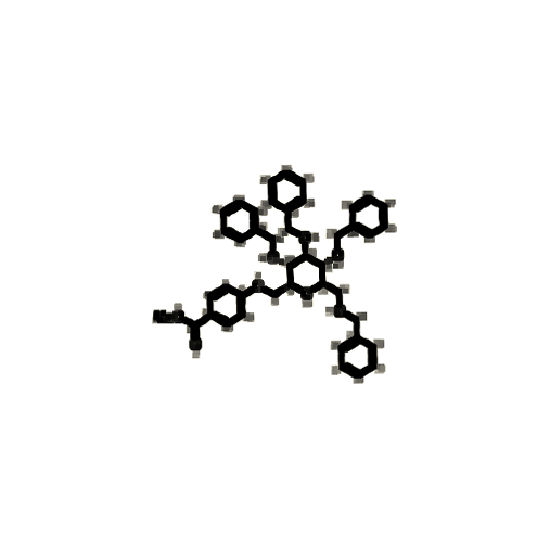 COC(=O)c1ccc(OC[C@@H]2O[C@H](COCc3ccccc3)[C@@H](OCc3ccccc3)[C@H](OCc3ccccc3)[C@H]2OCc2ccccc2)cc1